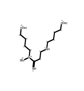 CCCCCCCCCCCCCCNCCC(=N)N(CCCCCCCCCCCCCC)C(C)(C)C